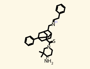 CC1(C)CN(C(=S)C23CC4CC(c5ccccc5)(CC(C2)C4C/N=C/Cc2ccccc2)C3)CC[C@@H]1N